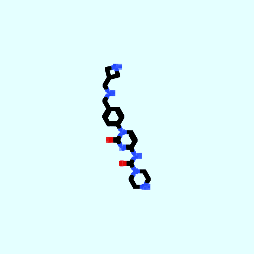 O=C(Nc1ccn(-c2ccc(CNCC3CNC3)cc2)c(=O)n1)N1CCNCC1